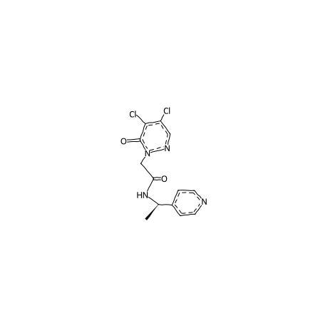 C[C@@H](NC(=O)Cn1ncc(Cl)c(Cl)c1=O)c1ccncc1